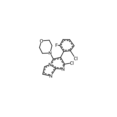 Fc1cccc(Cl)c1-c1c(Cl)nc2nccn2c1N1CCOCC1